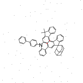 CC1(C)c2ccccc2-c2ccc(N(c3ccc(-c4ccccc4)cc3)c3ccccc3-c3ccc4c(c3)C3(c5ccccc5-4)C4CC5CC(C4)CC3C5)cc21